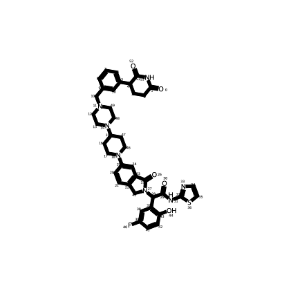 O=C1CCC(c2cccc(CN3CCN(C4CCN(c5ccc6c(c5)C(=O)N(C(C(=O)Nc5nccs5)c5cc(F)ccc5O)C6)CC4)CC3)c2)C(=O)N1